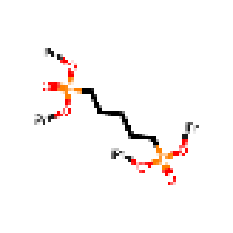 CC(C)OP(=O)(CCCCCP(=O)(OC(C)C)OC(C)C)OC(C)C